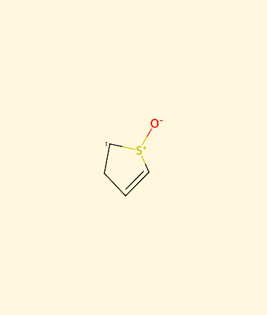 [O-][S+]1[C]CC=C1